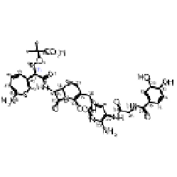 CC(C)(O/N=C(\C(=O)N[C@@H]1C(=O)N2C(C(=O)O)=C(C[n+]3cnc(N)c(NC(=O)CNC(=O)c4ccc(O)c(O)c4)c3)CSC12)C1=CSC(N)=CC=C1)C(=O)O